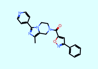 Cc1nc(-c2ccncc2)n2c1CN(C(=O)c1cc(-c3ccccc3)no1)CC2